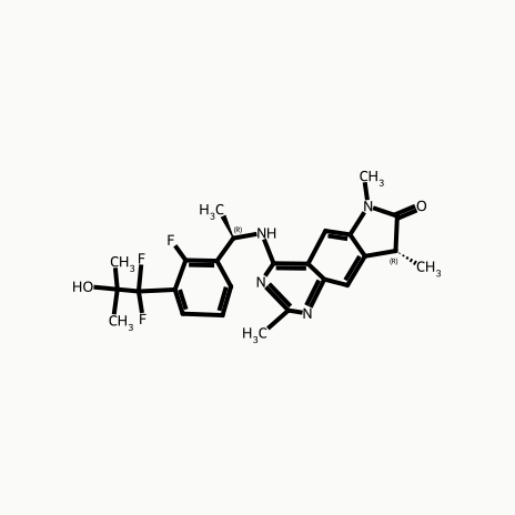 Cc1nc(N[C@H](C)c2cccc(C(F)(F)C(C)(C)O)c2F)c2cc3c(cc2n1)[C@@H](C)C(=O)N3C